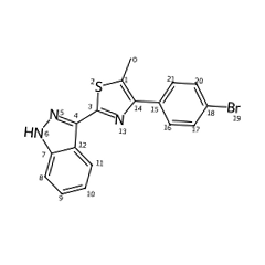 Cc1sc(-c2n[nH]c3ccccc23)nc1-c1ccc(Br)cc1